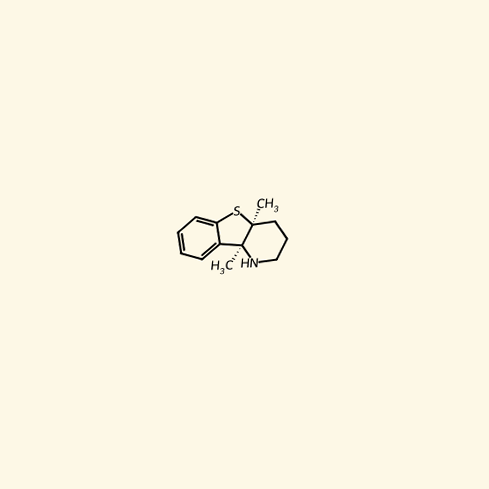 C[C@@]12NCCC[C@]1(C)Sc1ccccc12